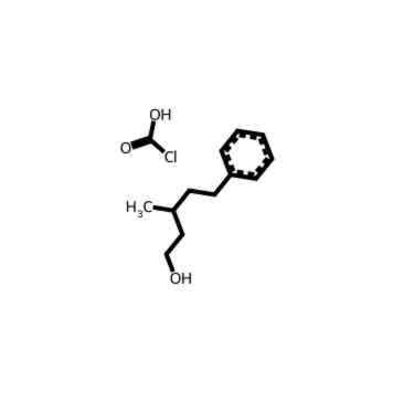 CC(CCO)CCc1ccccc1.O=C(O)Cl